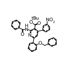 CC(C)(C)OC(=O)c1c(-c2cccc([N+](=O)[O-])c2)cc(-c2ccccc2OCc2ccccc2)nc1NC(=O)c1ccccc1